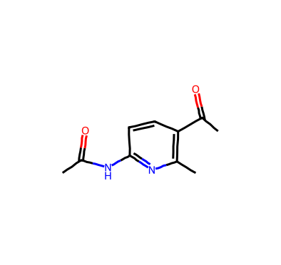 CC(=O)Nc1ccc(C(C)=O)c(C)n1